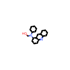 OCN(c1ccccc1)c1cccc2nc3ccccc3cc12